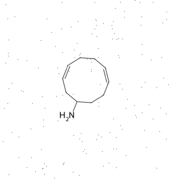 NC1C/C=C\CC/C=C\CC1